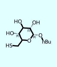 CCCCO[C@@H]1OC(CS)[C@H](O)C(O)[C@@H]1O